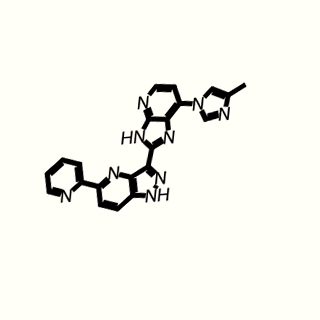 Cc1cn(-c2ccnc3[nH]c(-c4n[nH]c5ccc(-c6ccccn6)nc45)nc23)cn1